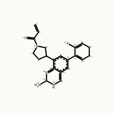 C=CC(=O)N1CCC(c2cc(C3=CCCC=C3F)cc3c2=NC(N)NC=3)C1